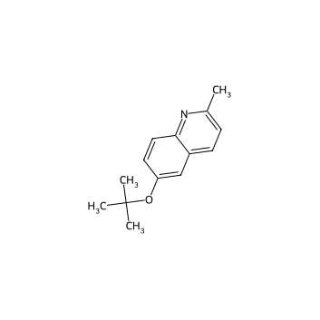 Cc1ccc2cc(OC(C)(C)C)ccc2n1